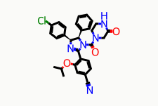 CC(C)Oc1cc(C#N)ccc1C1=N[C@@H](c2ccc(Cl)cc2)[C@@H](c2ccccc2)N1C(=O)N1CCNC(=O)C1